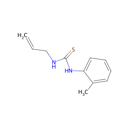 C=CCNC(=S)Nc1ccccc1C